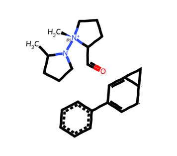 CC1CCCN1[N@+]1(C)CCCC1C=O.[CH]1C=C(c2ccccc2)C=C2C[C]12